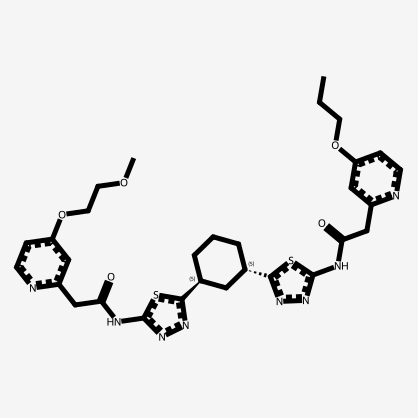 CCCOc1ccnc(CC(=O)Nc2nnc([C@H]3CCC[C@H](c4nnc(NC(=O)Cc5cc(OCCOC)ccn5)s4)C3)s2)c1